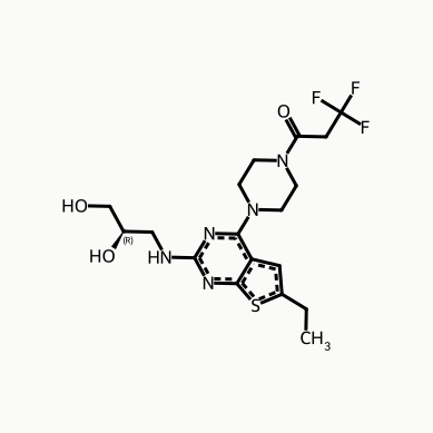 CCc1cc2c(N3CCN(C(=O)CC(F)(F)F)CC3)nc(NC[C@@H](O)CO)nc2s1